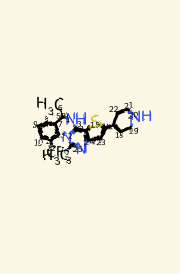 Cc1nc(N[C@H](C)c2cccc(C(F)(F)F)c2)c2sc(C3=CCNCC3)cc2n1